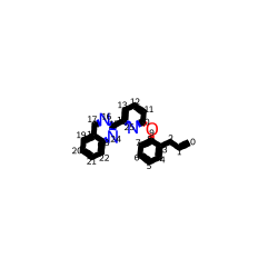 C=CCc1ccccc1Oc1cccc(-c2ncc3ccccc3n2)n1